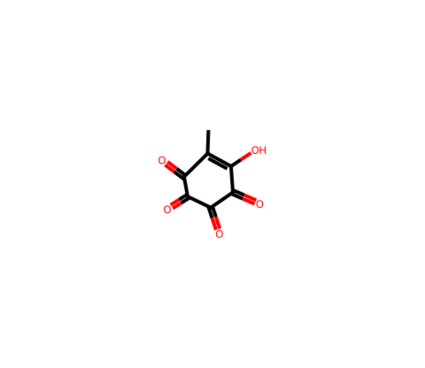 Cc1c(O)c(=O)c(=O)c(=O)c1=O